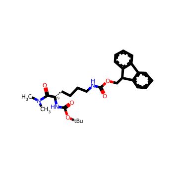 CN(C)C(=O)[C@H](CCCCNC(=O)OCC1c2ccccc2-c2ccccc21)NC(=O)OC(C)(C)C